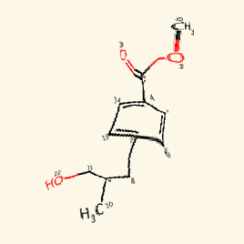 COC(=O)c1ccc(CC(C)CO)cc1